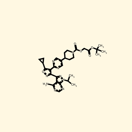 CC(C)n1nc(-c2noc(C3CC3)c2-c2ncc(C3CCN(C(=O)OCC(=O)OC(C)(C)C)CC3)cn2)c2c(N)ncnc21